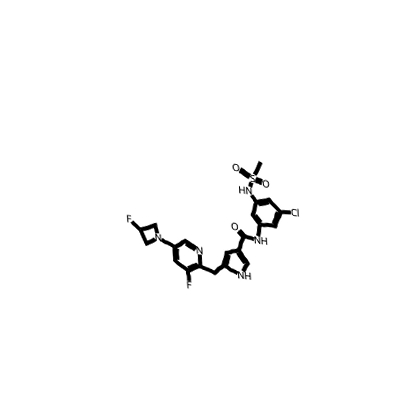 CS(=O)(=O)Nc1cc(Cl)cc(NC(=O)c2c[nH]c(Cc3ncc(N4CC(F)C4)cc3F)c2)c1